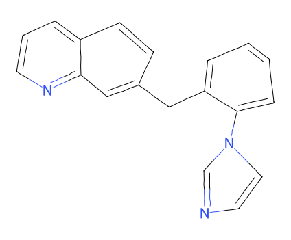 c1ccc(-n2ccnc2)c(Cc2ccc3cccnc3c2)c1